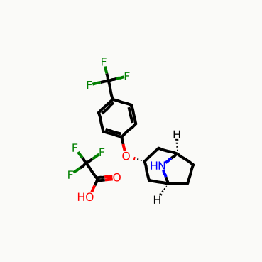 FC(F)(F)c1ccc(O[C@@H]2C[C@H]3CC[C@@H](C2)N3)cc1.O=C(O)C(F)(F)F